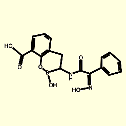 O=C(NC1Cc2cccc(C(=O)O)c2OB1O)C(=NO)c1ccccc1